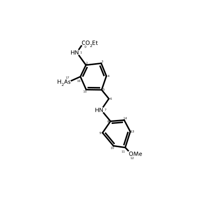 CCOC(=O)Nc1ccc(CNc2ccc(OC)cc2)cc1[AsH2]